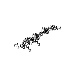 CN(C)c1ccc2c(c1)[SH]=c1cc(N(C)CCCC(=O)NCCOCCCC(=O)NCCc3ccc(O)cc3)ccc1=N2